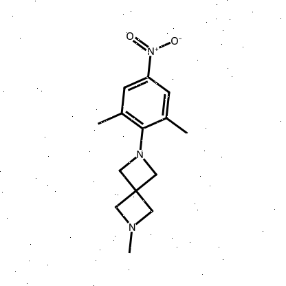 Cc1cc([N+](=O)[O-])cc(C)c1N1CC2(CN(C)C2)C1